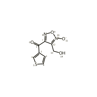 O=C(c1ccsc1)c1no[n+]([O-])c1CO